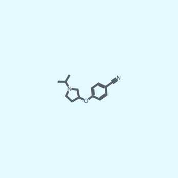 CC(C)N1CCC(Oc2ccc(C#N)cc2)C1